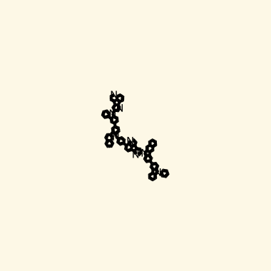 c1ccc(-n2c3ccccc3c3cc(-c4ccc5c(c4)c4cc6ccccc6cc4n5-c4cnc5c(c4)-c4ccnc6c(-c7ccc(-n8c9ccc(-c%10ccc%11c(c%10)c%10ccccc%10n%11-c%10cnc%11c(c%10)-c%10ccnc%12cccc-%11c%10%12)cc9c9ccc%10ccccc%10c98)cc7)ccc-5c46)ccc32)cc1